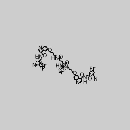 CC(C)(C)OC(=O)NC(CCC(=O)NCCCCOc1ccc2nccc(C(=O)NCC(=O)N3CC(F)(F)CC3C#N)c2c1)C(=O)NCCCCOc1ccc2nccc(C(=O)NCC(=O)N3CC(F)(F)CC3C#N)c2c1